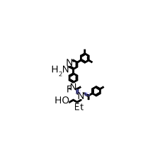 CCC(CCO)CN(/C=C(\C)c1ccc(C)cc1)/C=C(\C)N(F)c1ccc(-c2cc(-c3cc(C)cc(C)c3)cnc2N)cc1